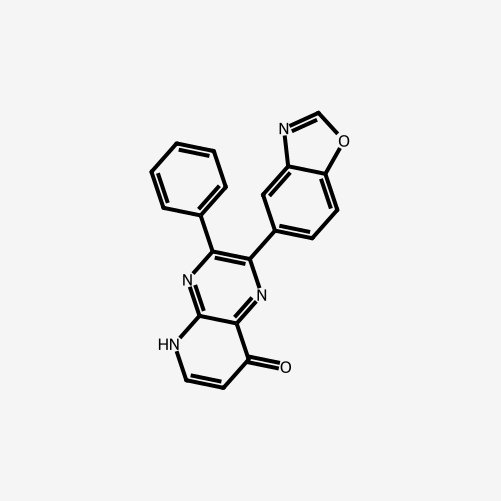 O=c1cc[nH]c2nc(-c3ccccc3)c(-c3ccc4ocnc4c3)nc12